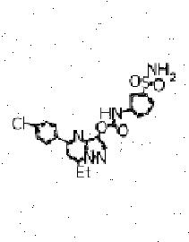 CCc1cc(-c2ccc(Cl)cc2)nc2c(OC(=O)Nc3cccc(S(N)(=O)=O)c3)cnn12